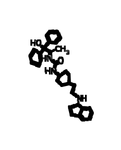 C[C@@H](NC(=O)NC1CCC(CCN[C@H]2CCc3ccccc32)CC1)C(O)(c1ccccc1)c1ccccc1